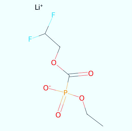 CCOP(=O)([O-])C(=O)OCC(F)F.[Li+]